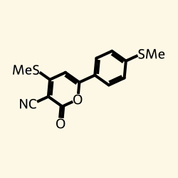 CSc1ccc(-c2cc(SC)c(C#N)c(=O)o2)cc1